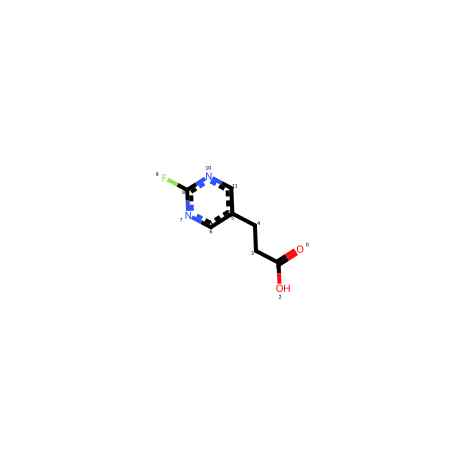 O=C(O)CCc1cnc(F)nc1